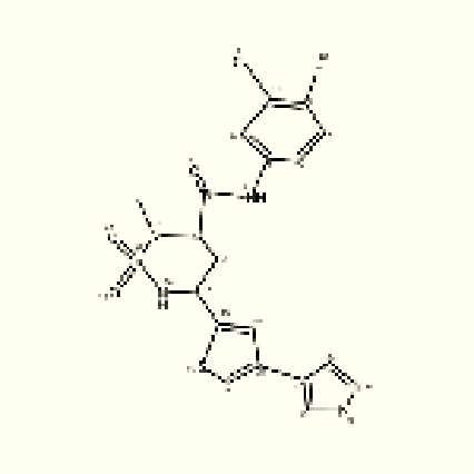 CN1C(C(=O)Nc2ccc(F)c(Cl)c2)CC(c2cc(-c3cn[nH]c3)cs2)NS1(=O)=O